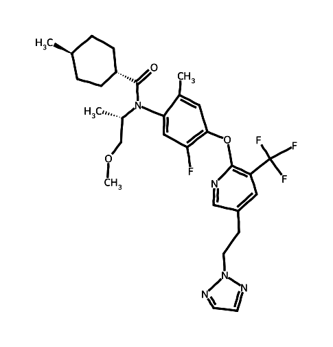 COC[C@H](C)N(c1cc(F)c(Oc2ncc(CCn3nccn3)cc2C(F)(F)F)cc1C)C(=O)[C@H]1CC[C@H](C)CC1